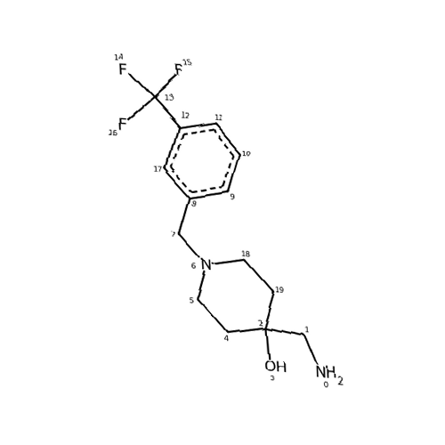 NCC1(O)CCN(Cc2cccc(C(F)(F)F)c2)CC1